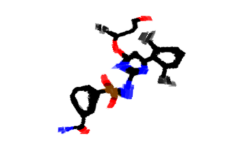 Cc1cccc(C)c1-c1cc(OC(C)CCO)nc(NS(=O)(=O)c2cccc(C(N)=O)c2)n1